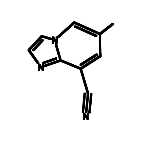 Cc1cc(C#N)c2nccn2c1